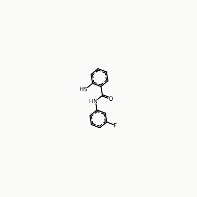 O=C(Nc1cccc(F)c1)c1ccccc1S